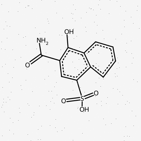 NC(=O)c1cc(S(=O)(=O)O)c2ccccc2c1O